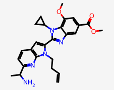 C=CCCn1c(-c2nc3cc(C(=O)OC)cc(OC)c3n2C2CC2)cc2ccc(C(C)N)nc21